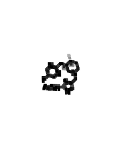 CC(=O)Nc1ncc(CN2CC[C@@H](C)[C@H](Cc3ncc(F)cn3)C2)s1